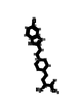 CC(F)C(C)CCC1CCN(CCc2nc3cc(Cl)ccc3[nH]2)CC1